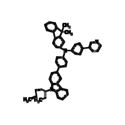 C=C/C=C\C(=C/C)n1c2ccccc2c2cc(-c3ccc(N(c4ccc(-c5cccnc5)cc4)c4ccc5c(c4)C(C)(C)c4ccccc4-5)cc3)ccc21